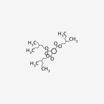 CCCC(CC)CCOC(=O)c1ccc(C(=O)OCCC(CC)CCC)c(C(=O)OCCC(CC)CCC)c1